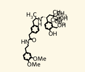 COc1ccc(CCNC(=O)Cc2cccc(C[C@@H](C)NC[C@H](CC(C)(C)[Si](C)(C)O)c3ccc(O)c(CO)c3)c2)cc1OC